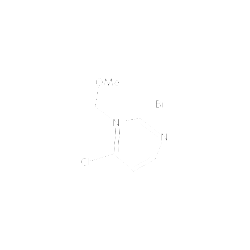 COC[n+]1cnccc1Cl.[Br-]